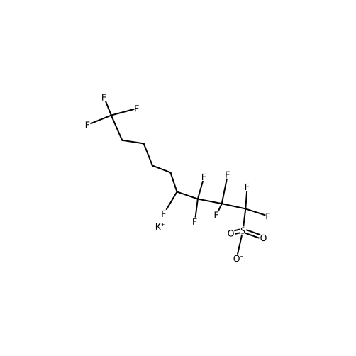 O=S(=O)([O-])C(F)(F)C(F)(F)C(F)(F)C(F)CCCCC(F)(F)F.[K+]